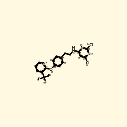 FC(F)(F)c1cccnc1Oc1ccc(CCNc2cc(Cl)nc(Cl)n2)cc1